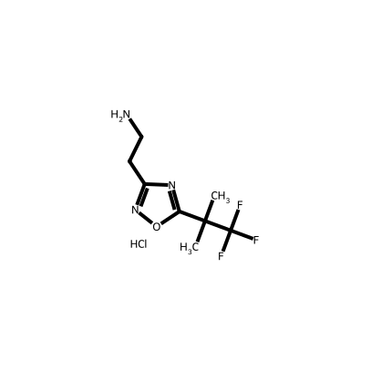 CC(C)(c1nc(CCN)no1)C(F)(F)F.Cl